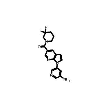 Nc1cncc(-n2ccc3cc(C(=O)N4CCCC(F)(F)C4)cnc32)c1